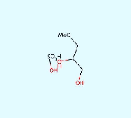 COCC(O)CO.O=S(=O)(O)O